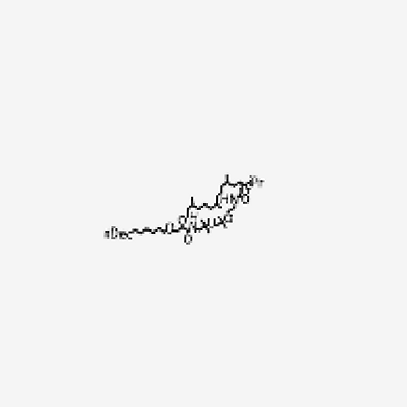 CCCCCCCCCCCCCCCCOCC(OCCC(C)CCCC(C)CCCC(C)CCCC(C)C)C(=O)NCC(C)(C)OCC(C)(C)OCCNC(=O)C(C)C